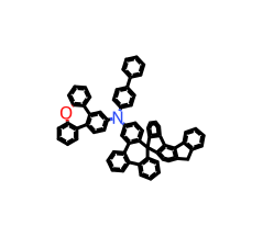 c1ccc(-c2ccc(N(c3ccc4c(c3)-c3ccccc3Oc3ccccc3-4)c3ccc4c(c3)-c3ccccc3-c3ccccc3C43c4ccccc4-c4c3ccc3c4-c4ccccc4C3)cc2)cc1